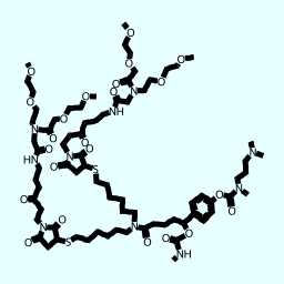 CNC(=O)OC(CCCC(=O)N(CCCCCCSC1CC(=O)N(CCC(=O)CCCNC(=O)CN(CCOCCOC)C(=O)COCCOC)C1=O)CCCCCCSC1CC(=O)N(CCC(=O)CCCNC(=O)CN(CCOCCOC)C(=O)COCCOC)C1=O)c1ccc(OC(=O)N(C)CCCN(C)C)cc1